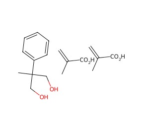 C=C(C)C(=O)O.C=C(C)C(=O)O.CC(CO)(CO)c1ccccc1